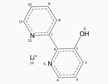 Oc1cccnc1-c1ccccn1.[Li+]